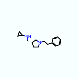 c1ccc(CCN2CC[C@H](CNC3CC3)C2)cc1